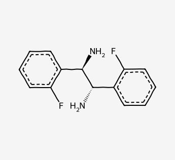 N[C@H](c1ccccc1F)[C@@H](N)c1ccccc1F